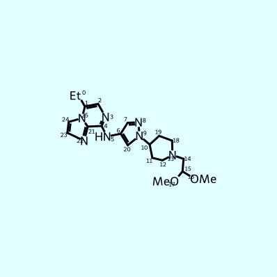 CCc1cnc(Nc2cnn(C3CCN(CC(OC)OC)CC3)c2)c2nccn12